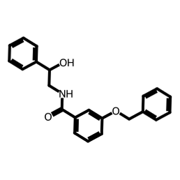 O=C(NCC(O)c1ccccc1)c1cccc(OCc2ccccc2)c1